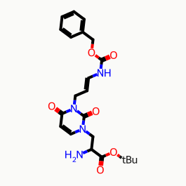 CC(C)(C)OC(=O)C(N)Cn1ccc(=O)n(CC=CNC(=O)OCc2ccccc2)c1=O